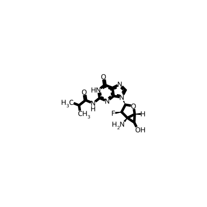 CC(C)C(=O)Nc1nc2c(ncn2[C@@H]2O[C@@H]3C(O)[C@]3(N)[C@H]2F)c(=O)[nH]1